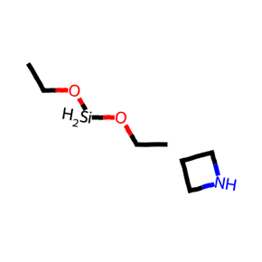 C1CNC1.CCO[SiH2]OCC